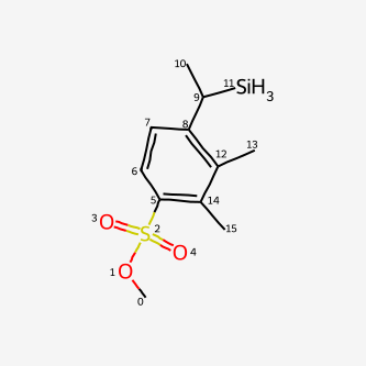 COS(=O)(=O)c1ccc(C(C)[SiH3])c(C)c1C